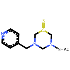 CC(=O)NN1CN(Cc2ccncc2)CS(=S)C1